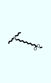 CCCCN(CCCC)CCCCCCCCCCC(=O)OCC